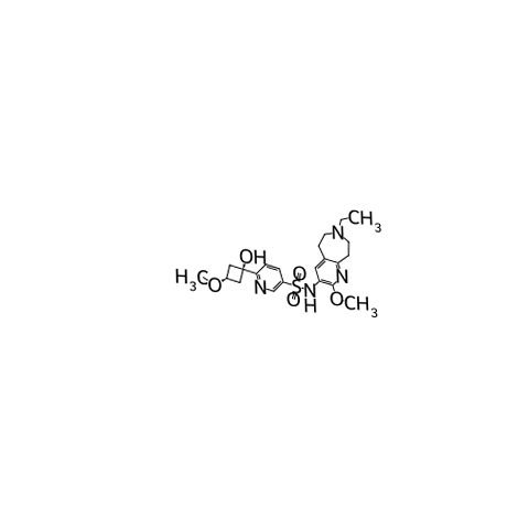 CCN1CCc2cc(NS(=O)(=O)c3ccc([C@]4(O)C[C@@H](OC)C4)nc3)c(OC)nc2CC1